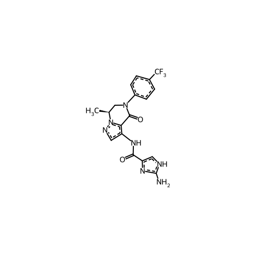 C[C@H]1CN(c2ccc(C(F)(F)F)cc2)C(=O)c2c(NC(=O)c3c[nH]c(N)n3)cnn21